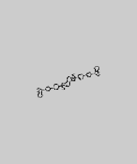 c1ccc2c(-c3ccc(-c4ccc(-c5cc6c(ccc7c8cc(-c9ccc(-c%10ccc(-c%11csc%12ccccc%11%12)cc%10)cc9)sc8ccc67)s5)cc4)cc3)csc2c1